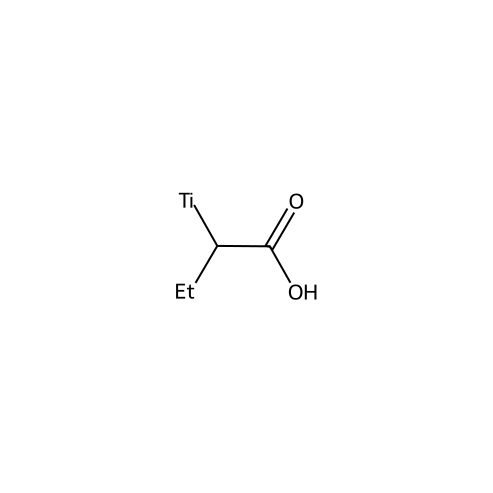 CC[CH]([Ti])C(=O)O